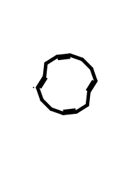 [C]1=C/C/C=C\CC/C=C/C/C=C\CC/1